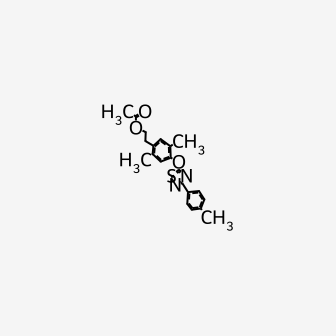 CC(=O)OCCc1cc(C)c(Oc2nc(-c3ccc(C)cc3)ns2)cc1C